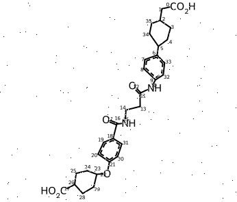 O=C(O)CC1CCC(c2ccc(NC(=O)CCNC(=O)c3ccc(OC4CCC(C(=O)O)CC4)cc3)cc2)CC1